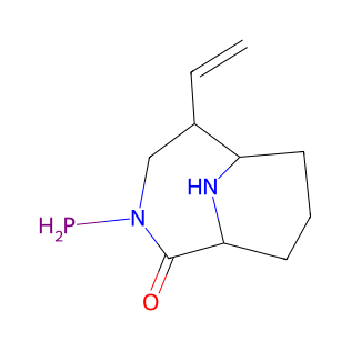 C=CC1CN(P)C(=O)C2CCCC1N2